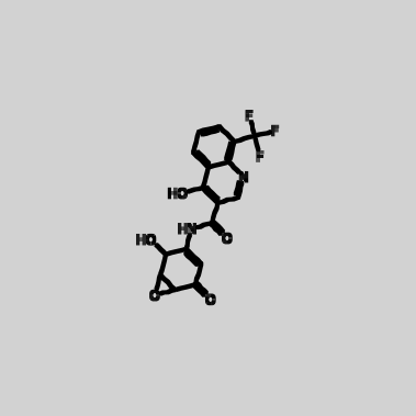 O=C(NC1=CC(=O)C2OC2C1O)c1cnc2c(C(F)(F)F)cccc2c1O